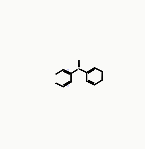 C/C=C\C(=C/C)N(C)C1=CCCC=C1